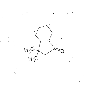 CC1(C)CC(=O)C2CCCCC21